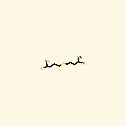 CC(C)CCCSCCCC(C)C